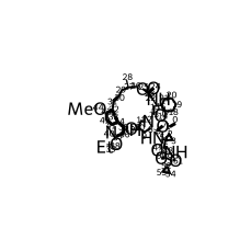 C=C[C@@H]1C[C@]1(NC(=O)[C@@H]1C[C@@H]2CN1C(=O)[C@H](C1CCCCC1)NC(=O)OC[C@H](C)C/C=C/c1cc3c(cc(OCC)nc3cc1OC)O2)C(=O)NS(=O)(=O)C1CC1